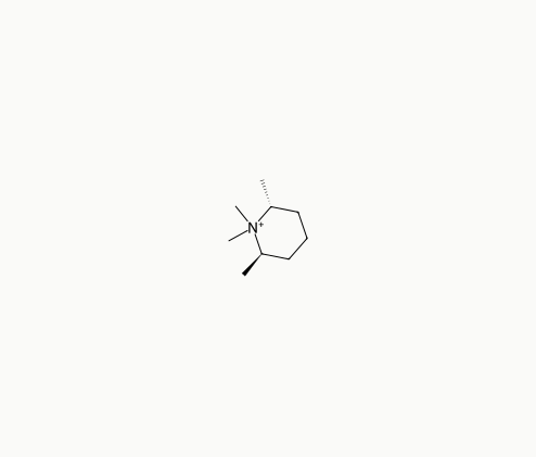 C[C@@H]1CCC[C@@H](C)[N+]1(C)C